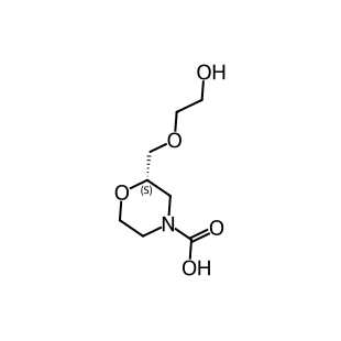 O=C(O)N1CCO[C@H](COCCO)C1